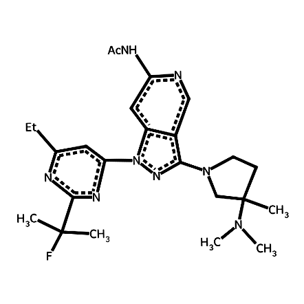 CCc1cc(-n2nc(N3CCC(C)(N(C)C)C3)c3cnc(NC(C)=O)cc32)nc(C(C)(C)F)n1